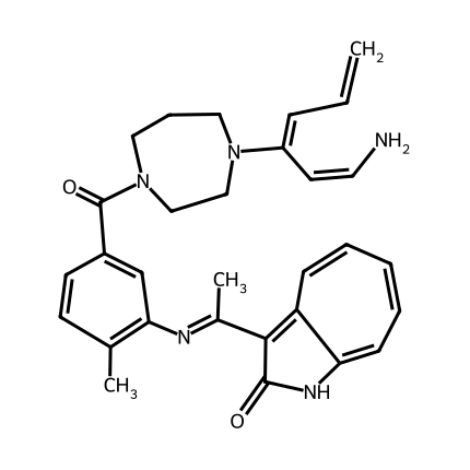 C=C/C=C(\C=C/N)N1CCCN(C(=O)c2ccc(C)c(/N=C(\C)c3c4cccccc-4[nH]c3=O)c2)CC1